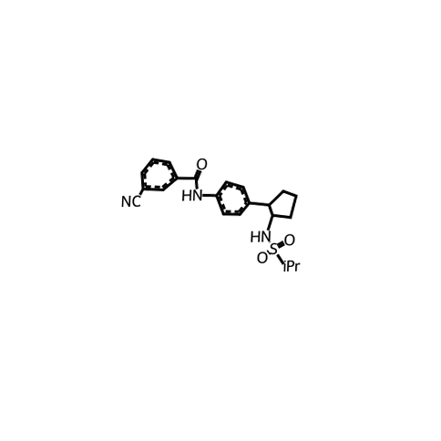 CC(C)S(=O)(=O)NC1CCCC1c1ccc(NC(=O)c2cccc(C#N)c2)cc1